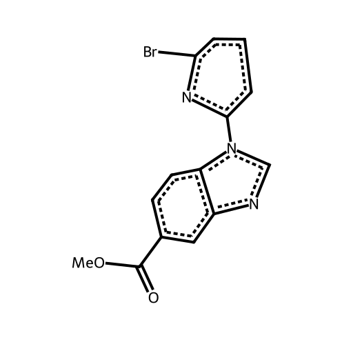 COC(=O)c1ccc2c(c1)ncn2-c1cccc(Br)n1